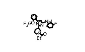 CCC(=O)N1CCCC(c2nc(Nc3cccc(F)c3)cc(-c3ccccc3OC(F)(F)F)n2)C1